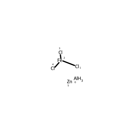 [AlH3].[Cl][Fe]([Cl])[Cl].[Zn]